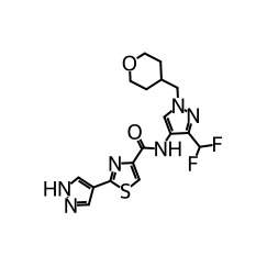 O=C(Nc1cn(CC2CCOCC2)nc1C(F)F)c1csc(-c2cn[nH]c2)n1